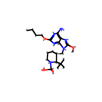 CCCCOc1nc(N)c2nc(OC)n(C[C@H]3CCCN(C(=O)O)C3C(C)(C)C)c2n1